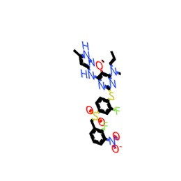 CCCN(C)c1nc(Sc2ccc(S(=O)(=O)Cc3cccc([N+](=O)[O-])c3F)cc2F)nc(Nc2cc(C)[nH]n2)c1OC